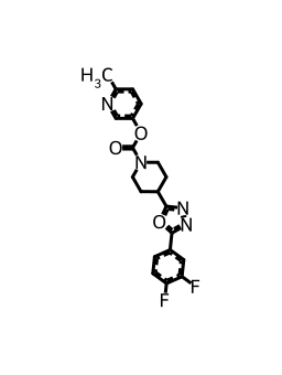 Cc1ccc(OC(=O)N2CCC(c3nnc(-c4ccc(F)c(F)c4)o3)CC2)cn1